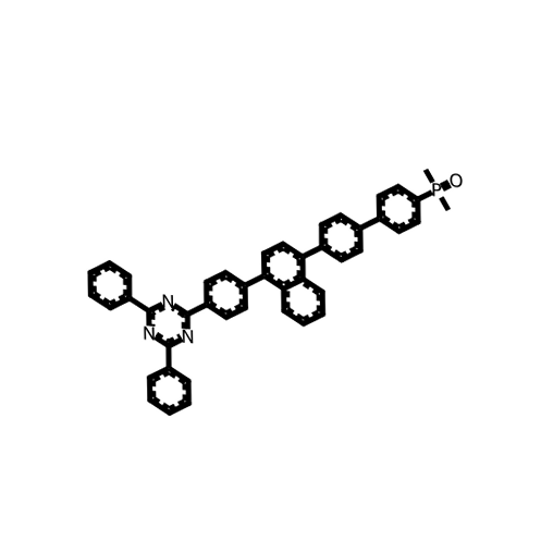 CP(C)(=O)c1ccc(-c2ccc(-c3ccc(-c4ccc(-c5nc(-c6ccccc6)nc(-c6ccccc6)n5)cc4)c4ccccc34)cc2)cc1